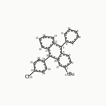 CC(C)(C)c1ccc2c(-c3ccccc3)c3ccccc3c(-c3ccc(Cl)cc3)c2c1